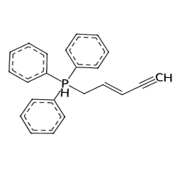 C#C/C=C/C[PH](c1ccccc1)(c1ccccc1)c1ccccc1